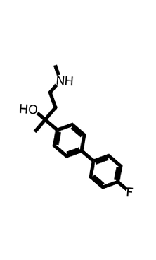 CNCCC(C)(O)c1ccc(-c2ccc(F)cc2)cc1